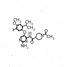 COc1cc(C(C)C)c(Oc2cnc(N)nc2NC(=O)C2CCN(C(C)=O)CC2)cc1I